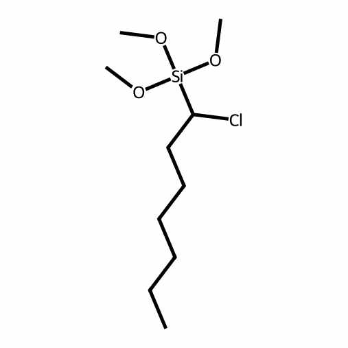 CCCCCCC(Cl)[Si](OC)(OC)OC